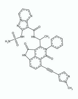 CC(NC(=O)c1c(NS(N)(=O)=O)nn2cccnc12)c1c2c3c(ccc(C#Cc4cnn(C)c4)c3c(=O)n1-c1ccccc1)NC2=O